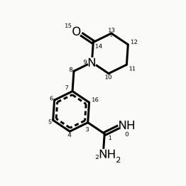 N=C(N)c1cccc(CN2CCC[CH]C2=O)c1